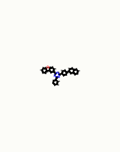 c1ccc(-c2nc(-c3ccc(-c4ccc5ccccc5c4)cc3)nc(-c3ccc4oc5ccccc5c4c3)n2)cc1